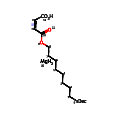 CCCCCCCCCCCCCCCCCCOC(=O)/C=C\C(=O)O.[MgH2]